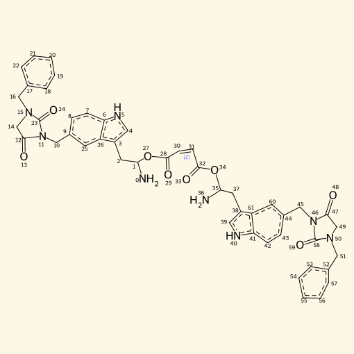 NC(Cc1c[nH]c2ccc(CN3C(=O)CN(Cc4ccccc4)C3=O)cc12)OC(=O)/C=C\C(=O)OC(N)Cc1c[nH]c2ccc(CN3C(=O)CN(Cc4ccccc4)C3=O)cc12